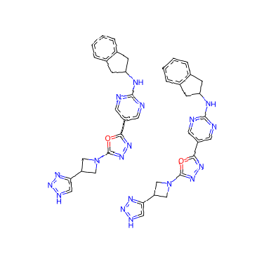 c1ccc2c(c1)CC(Nc1ncc(-c3nnc(N4CC(c5c[nH]nn5)C4)o3)cn1)C2.c1ccc2c(c1)CC(Nc1ncc(-c3nnc(N4CC(c5c[nH]nn5)C4)o3)cn1)C2